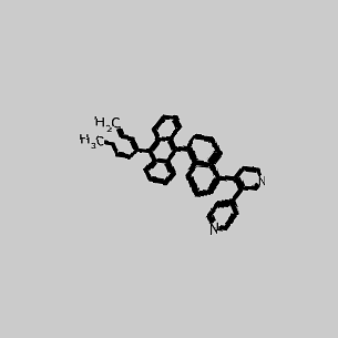 C=C/C=C(\C=C/CC)c1c2ccccc2c(-c2cccc3c(-c4ccncc4-c4ccncc4)cccc23)c2ccccc12